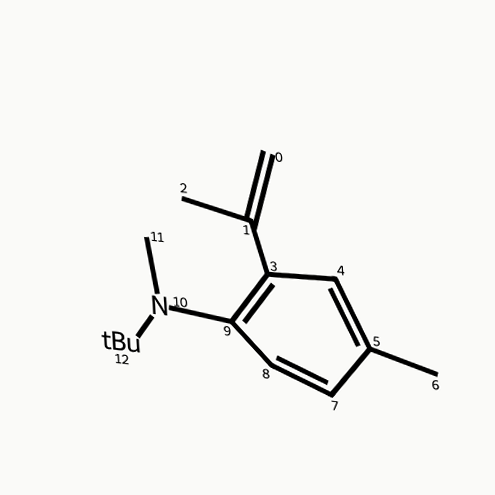 C=C(C)c1cc(C)ccc1N(C)C(C)(C)C